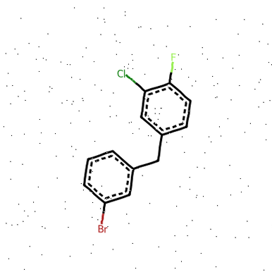 Fc1ccc(Cc2cccc(Br)c2)cc1Cl